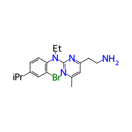 CCN(c1nc(C)cc(CCN)n1)c1ccc(C(C)C)cc1Br